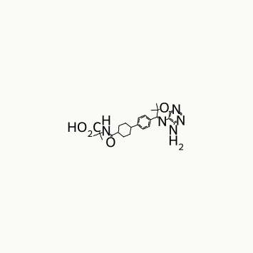 CC(C)(NC(=O)C1CCC(c2ccc(C3=Nc4c(N)ncnc4OC3(C)C)cc2)CC1)C(=O)O